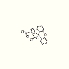 O=C1OC2(c3ccccc3Oc3ccccc32)c2ccc[c]([Ti]([Cl])[Cl])c21